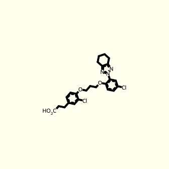 O=C(O)CCc1ccc(OCCCOc2ccc(Cl)cc2-n2nc3c(n2)CCCC3)c(Cl)c1